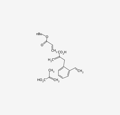 C=C(C)C(=O)O.C=CC(=O)OCCCC.C=Cc1ccccc1CC(=C)C(=O)O